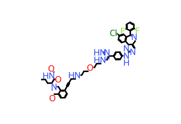 CCCC(C(=O)NC=O)N(C)Cc1c(C#CCCNCCCOCCCN/C=C(\N=N)c2ccc(Nc3ncc4c(n3)-c3ccc(Cl)cc3C(c3c(F)cccc3F)=NC4)cc2)cccc1C=O